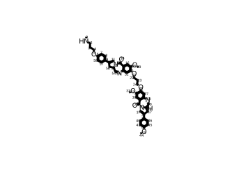 CNCCCOc1ccc(C2=CN3C(=O)c4cc(OC)c(OCCCOc5cc6c(cc5OC)C(=O)N5C=C(c7ccc(OC)cc7)C[C@H]5C=N6)cc4N=CC3C2)cc1